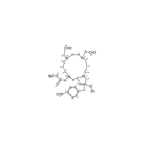 CCOP(=O)(Cc1ccc([N+](=O)[O-])cc1)CN1CCCN(CC=O)CCN(CC=O)CCCN(CC(=O)OC(C)(C)C)CC1